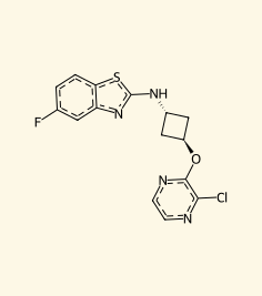 Fc1ccc2sc(N[C@H]3C[C@H](Oc4nccnc4Cl)C3)nc2c1